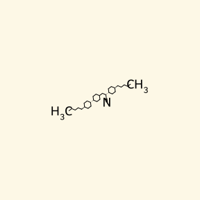 CCCCC[C@H]1CC[C@H](C(C#N)CC2CCC([C@H]3CC[C@H](CCCCC)CC3)CC2)CC1